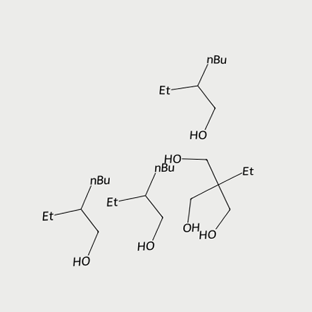 CCC(CO)(CO)CO.CCCCC(CC)CO.CCCCC(CC)CO.CCCCC(CC)CO